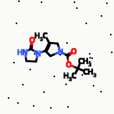 CC1=C(N2CCNC2=O)CN(C(=O)OC(C)(C)C)C1